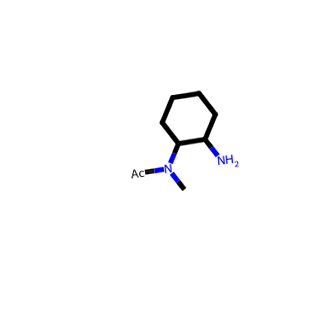 CC(=O)N(C)C1CCCCC1N